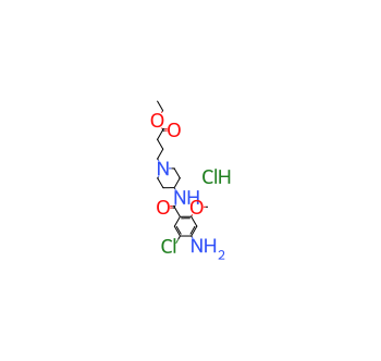 CCOC(=O)CCCN1CCC(NC(=O)c2cc(Cl)c(N)cc2OC)CC1.Cl